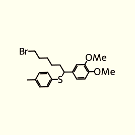 COc1ccc(C(CCCCCBr)Sc2ccc(C)cc2)cc1OC